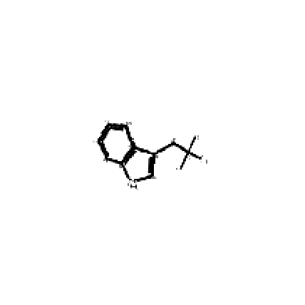 CC(C)(I)Cc1c[nH]c2c1C=C=C=C2